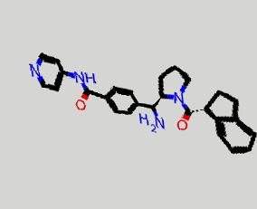 NC(c1ccc(C(=O)Nc2ccncc2)cc1)[C@H]1CCCN1C(=O)[C@@H]1CCc2ccccc21